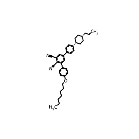 CCCCCCCOc1ccc(-c2cc(-c3ccc([C@H]4CC[C@H](CCC)CC4)cc3)cc(C#N)c2C#N)cc1